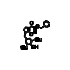 CC(C)(C)c1cc(C=C2CCN(C(=O)NOCc3ccccc3)C2=O)cc(C(C)(C)C)c1O